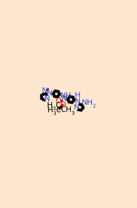 CC(C)(C)OC(=O)N(Nc1ccc(-n2cnc3cccnc32)cc1)c1ccc(Nc2ncccc2N)cc1